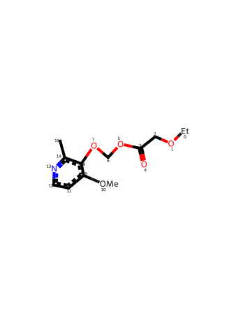 CCOCC(=O)OCOc1c(OC)ccnc1C